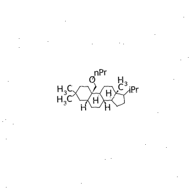 CCCOC[C@]12CCC(C)(C)C[C@H]1CC[C@@H]1[C@@H]2CC[C@]2(C)C(C(C)C)CC[C@@H]12